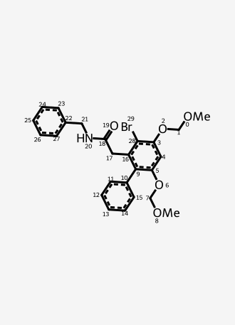 COCOc1cc(OCOC)c(-c2ccccc2)c(CC(=O)NCc2ccccc2)c1Br